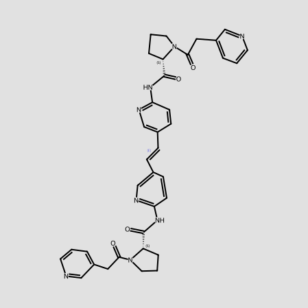 O=C(Nc1ccc(/C=C/c2ccc(NC(=O)[C@@H]3CCCN3C(=O)Cc3cccnc3)nc2)cn1)[C@@H]1CCCN1C(=O)Cc1cccnc1